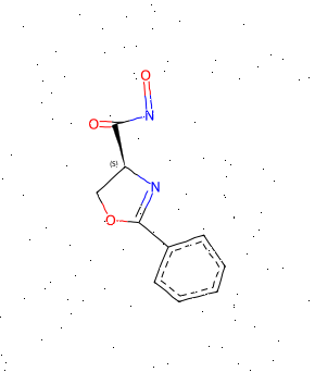 O=NC(=O)[C@@H]1COC(c2ccccc2)=N1